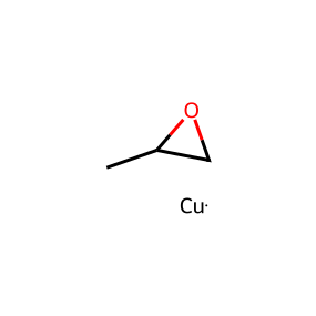 CC1CO1.[Cu]